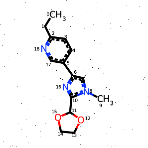 CCc1ccc(-c2cn(C)c(C3OCCO3)n2)cn1